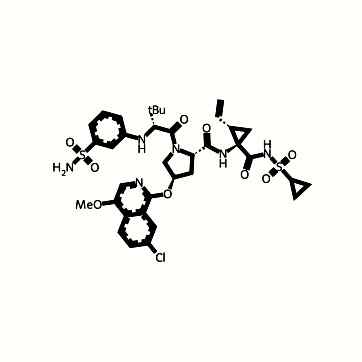 C=C[C@@H]1C[C@]1(NC(=O)[C@@H]1C[C@@H](Oc2ncc(OC)c3ccc(Cl)cc23)CN1C(=O)[C@H](Nc1cccc(S(N)(=O)=O)c1)C(C)(C)C)C(=O)NS(=O)(=O)C1CC1